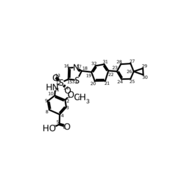 COc1cc(C(=O)O)ccc1NS(=O)(=O)c1cnc(-c2ccc(C3=CCC4(CC3)CC4)cc2)s1